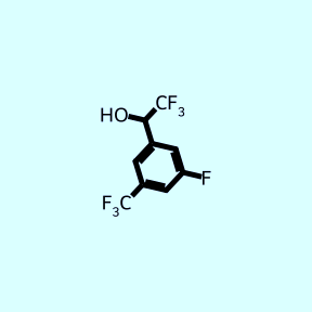 OC(c1cc(F)cc(C(F)(F)F)c1)C(F)(F)F